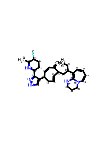 C=C1/C=C\C(c2c[nH]nc2C2CCC(F)C(C)N2)C/C=C/C1CC(CC)C1=C2NCCCN2C=CC=C1